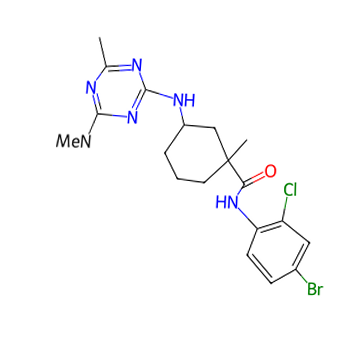 CNc1nc(C)nc(NC2CCCC(C)(C(=O)Nc3ccc(Br)cc3Cl)C2)n1